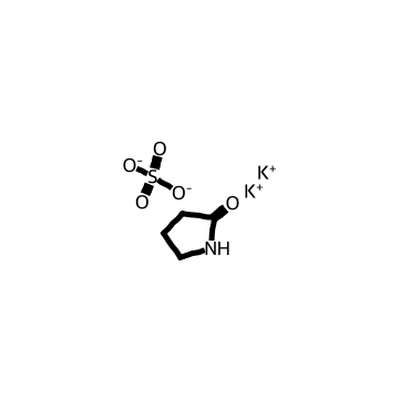 O=C1CCCN1.O=S(=O)([O-])[O-].[K+].[K+]